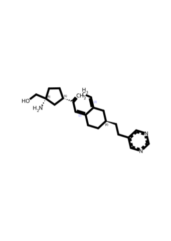 C=C(/C=C1/CC[C@H](CCc2cncnc2)C/C1=C/C)[C@H]1CC[C@](N)(CO)C1